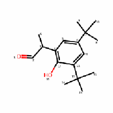 CC(C=O)c1cc(C(C)(C)C)cc(C(C)(C)C)c1O